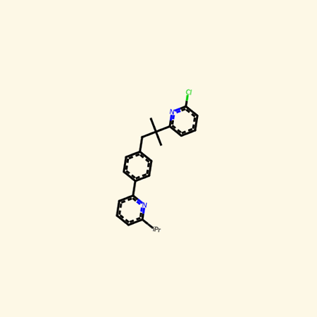 CC(C)c1cccc(-c2ccc(CC(C)(C)c3cccc(Cl)n3)cc2)n1